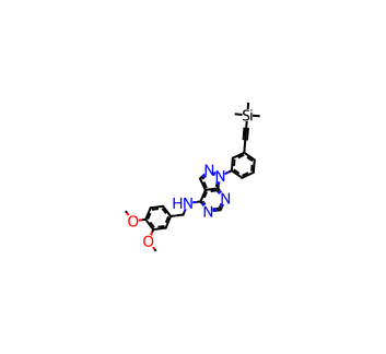 COc1ccc(CNc2ncnc3c2cnn3-c2cccc(C#C[Si](C)(C)C)c2)cc1OC